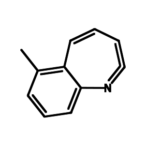 Cc1cccc2c1C=CC=C=N2